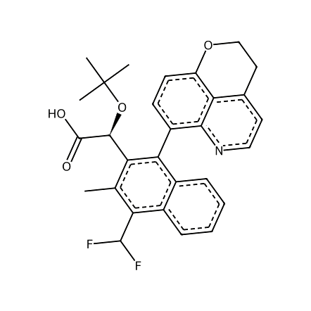 Cc1c([C@H](OC(C)(C)C)C(=O)O)c(-c2ccc3c4c(ccnc24)CCO3)c2ccccc2c1C(F)F